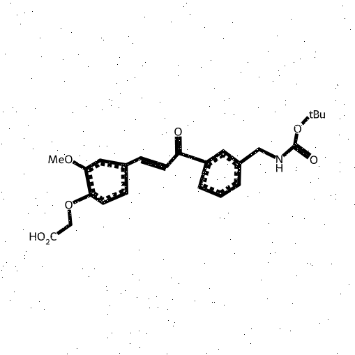 COc1cc(C=CC(=O)c2cccc(CNC(=O)OC(C)(C)C)c2)ccc1OCC(=O)O